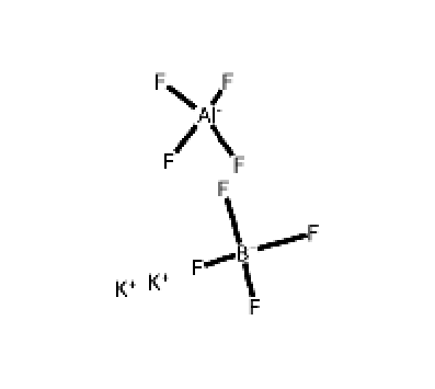 F[B-](F)(F)F.[F][Al-]([F])([F])[F].[K+].[K+]